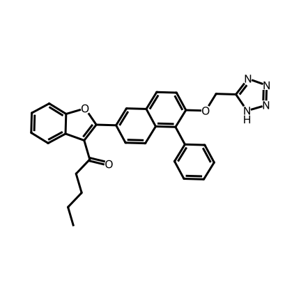 CCCCC(=O)c1c(-c2ccc3c(-c4ccccc4)c(OCc4nnn[nH]4)ccc3c2)oc2ccccc12